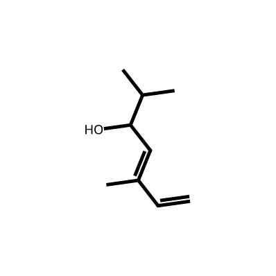 C=CC(C)=CC(O)C(C)C